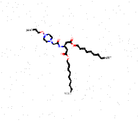 CCCCCCCCCCCCCCCCCCOC(=O)CC(CC(=O)OCCCCCCCCCCCCCCCCCC)NC(=O)CN1CCN(OCCOC)CC1